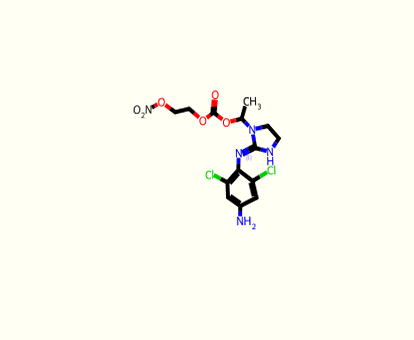 CC(OC(=O)OCCO[N+](=O)[O-])N1CCN/C1=N\c1c(Cl)cc(N)cc1Cl